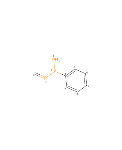 C=PP(P)c1ccccc1